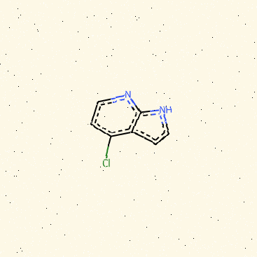 Clc1[c]cnc2[nH]ccc12